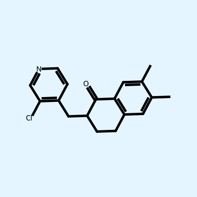 Cc1cc2c(cc1C)C(=O)C(Cc1ccncc1Cl)CC2